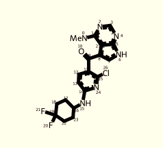 CNc1ncnc2[nH]cc(C(=O)c3ccc(NC4CCC(F)(F)CC4)nc3Cl)c12